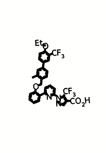 CCOc1ccc(-c2ccc(COc3ccccc3-c3cccc(-n4ncc(C(=O)O)c4C(F)(F)F)n3)c(C)c2)cc1C(F)(F)F